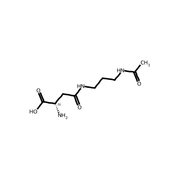 CC(=O)NCCCNC(=O)C[C@H](N)C(=O)O